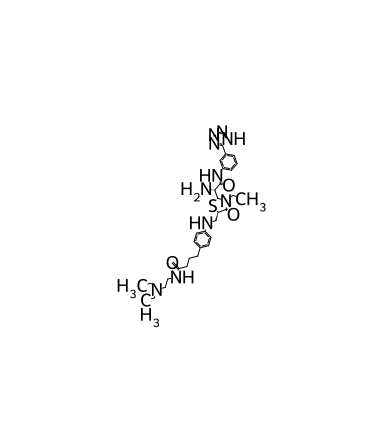 CCN(CC)CCNC(=O)CCCc1ccc(NC[C@H]2SC([C@H](N)C(=O)Nc3cccc(-c4nnn[nH]4)c3)N(CC)C2=O)cc1